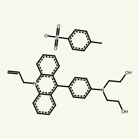 C=CC[n+]1c2ccccc2c(-c2ccc(N(CCO)CCO)cc2)c2ccccc21.Cc1ccc(S(=O)(=O)[O-])cc1